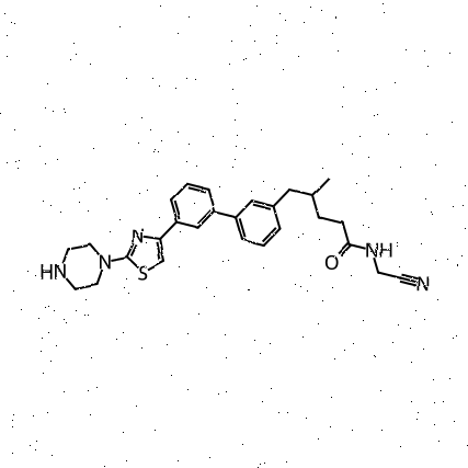 CC(CCC(=O)NCC#N)Cc1cccc(-c2cccc(-c3csc(N4CCNCC4)n3)c2)c1